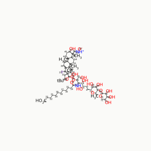 CC1O[C@@H](CCC(O)C(O)[C@@H](NC(=O)CCCCCCCCCCC(=O)O)C(CO)OOC(=O)[C@]2(CCC(C)(C)C)C(I)C3=CCC4C5(C)CC[C@H](O)C(C)(/C=[NH+]/[O-])C5CCC4(C)C3(C)C[C@@H]2O)C(O)C(O)[C@H]1O[C@@H]1OC[C@@H](O)C(O)C1O